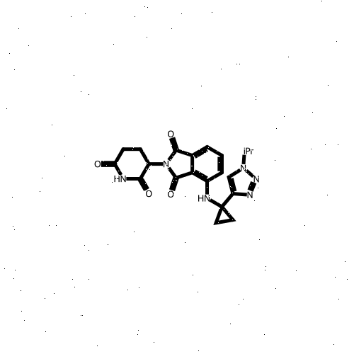 CC(C)n1cc(C2(Nc3cccc4c3C(=O)N(C3CCC(=O)NC3=O)C4=O)CC2)nn1